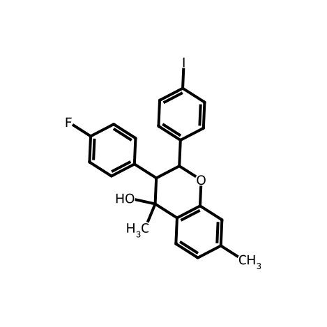 Cc1ccc2c(c1)OC(c1ccc(I)cc1)C(c1ccc(F)cc1)C2(C)O